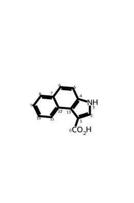 O=C(O)c1c[nH]c2ccc3ccccc3c12